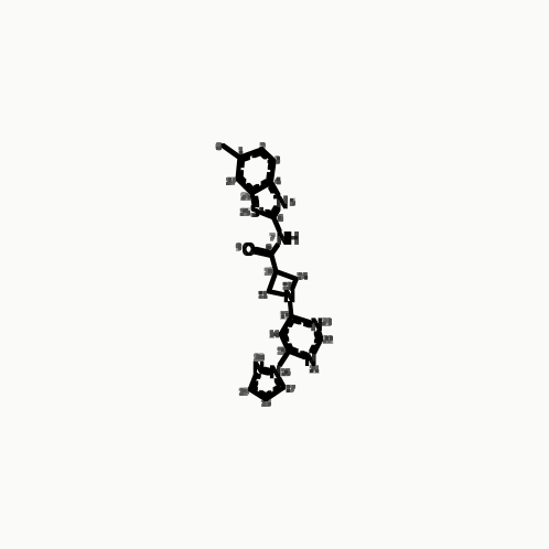 Cc1ccc2nc(NC(=O)C3CN(c4cc(-n5cccn5)ncn4)C3)sc2c1